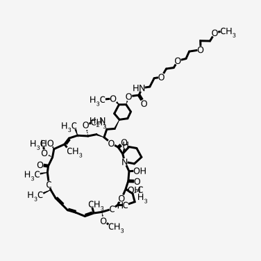 COCCOCCOCCOCCNC(=O)O[C@@H]1CC[C@@H](C[C@@H](N)[C@@H]2C[C@@H](OC)[C@H](C)/C=C(\C)[C@@H](O)[C@@H](OC)C(=O)[C@H](C)C[C@H](C)/C=C/C=C/C=C(\C)[C@@H](OC)C[C@@H]3CC[C@@H](C)[C@@](O)(O3)C(=O)C(O)N3CCCC[C@H]3C(=O)O2)C[C@H]1OC